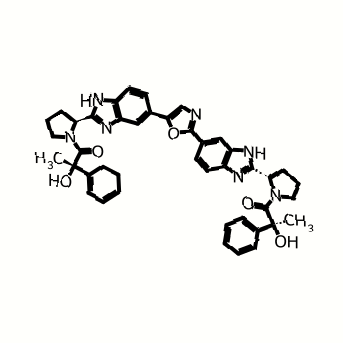 C[C@@](O)(C(=O)N1CCC[C@H]1c1nc2cc(-c3cnc(-c4ccc5nc([C@@H]6CCCN6C(=O)[C@@](C)(O)c6ccccc6)[nH]c5c4)o3)ccc2[nH]1)C1=CC=CCC1